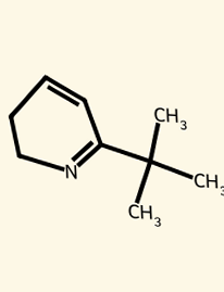 CC(C)(C)C1=NCCC=C1